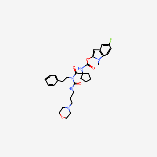 Cn1c(OC(=O)NC2(C(=O)N(CCc3ccccc3)C(=O)NCCCN3CCOCC3)CCCC2)cc2cc(F)ccc21